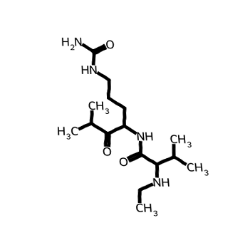 CCNC(C(=O)NC(CCCNC(N)=O)C(=O)C(C)C)C(C)C